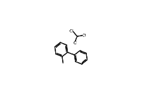 Cc1ccccc1-c1ccccc1.ClC(Cl)Cl